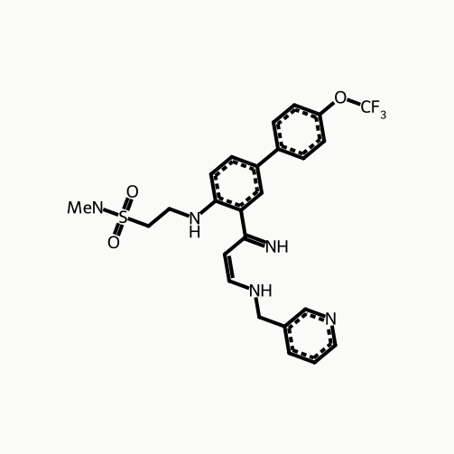 CNS(=O)(=O)CCNc1ccc(-c2ccc(OC(F)(F)F)cc2)cc1C(=N)/C=C\NCc1cccnc1